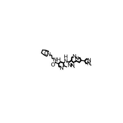 Cc1ncc(C(=O)NCCN2CC3CCC(C2)O3)cc1Nc1nn(C)c2c1cnn1cc(-c3cnn(C)c3)cc21